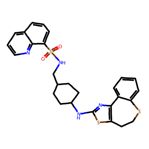 O=S(=O)(NCC1CCC(Nc2nc3c(s2)CCSc2ccccc2-3)CC1)c1cccc2cccnc12